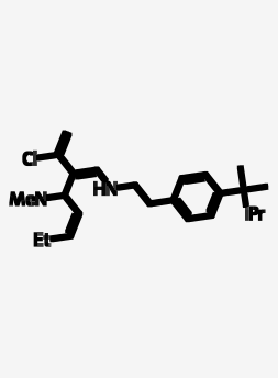 C=C(Cl)/C(=C/NCCc1ccc(C(C)(C)C(C)C)cc1)C(/C=C\CC)NC